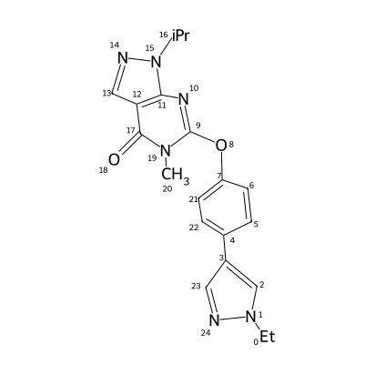 CCn1cc(-c2ccc(Oc3nc4c(cnn4C(C)C)c(=O)n3C)cc2)cn1